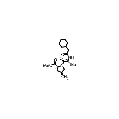 C=C1C[C@@H](C(=O)OC)N(C(=O)[C@@H](NC(=O)CC2CCCCC2)C(C)(C)C)C1